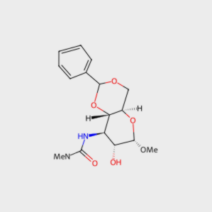 CNC(=O)N[C@@H]1[C@@H](O)[C@@H](OC)O[C@@H]2COC(c3ccccc3)O[C@@H]12